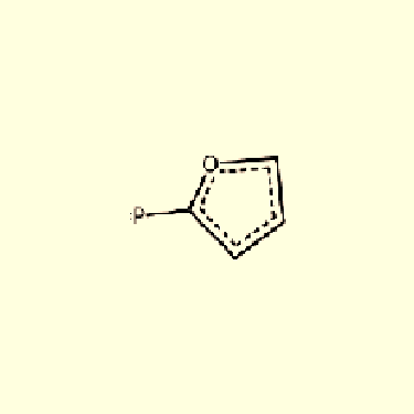 [P]c1ccco1